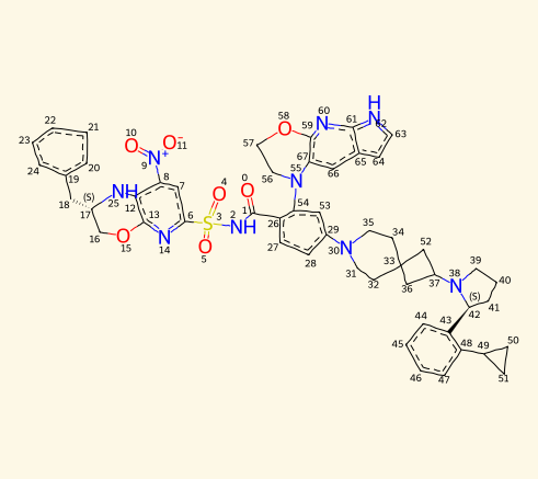 O=C(NS(=O)(=O)c1cc([N+](=O)[O-])c2c(n1)OC[C@H](Cc1ccccc1)N2)c1ccc(N2CCC3(CC2)CC(N2CCC[C@H]2c2ccccc2C2CC2)C3)cc1N1CCOc2nc3[nH]ccc3cc21